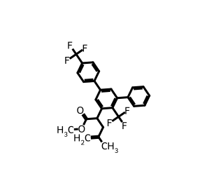 C=C(C)CC(C(=O)OC)c1cc(-c2ccc(C(F)(F)F)cc2)cc(-c2ccccc2)c1C(F)(F)F